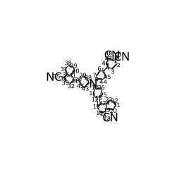 N#Cc1ccc(-c2ccc(N(c3ccc(-c4ccc(C#N)c5ccccc45)cc3)c3ccc(-c4ccc(C#N)c5ccccc45)cc3)cc2)cc1C#N